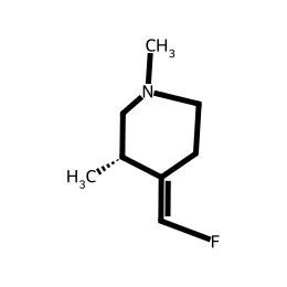 C[C@@H]1CN(C)CC/C1=C\F